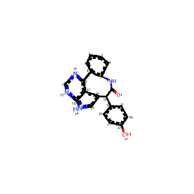 O=C1Nc2ccccc2-c2ncnc3[nH]cc(c23)C1c1ccc(O)cc1